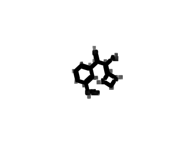 COc1cccc(C(=O)C(C(C)=O)=C2SCS2)c1